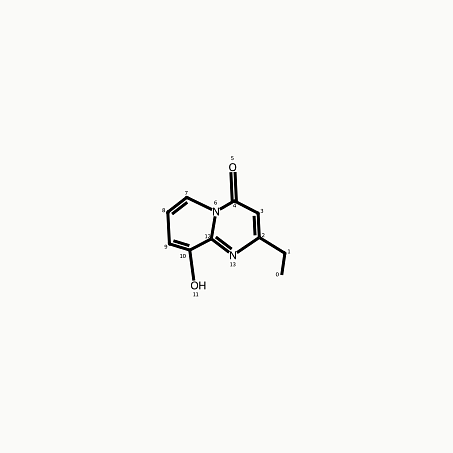 CCc1cc(=O)n2cccc(O)c2n1